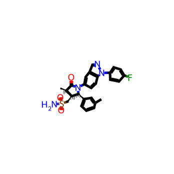 Cc1cccc([C@H]2[C@@H](CS(N)(=O)=O)[C@@H](C)C(=O)N2c2ccc3c(cnn3-c3ccc(F)cc3)c2)c1